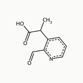 CC(C(=O)O)c1cccnc1C=O